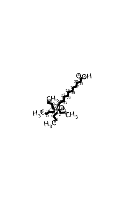 CCCCP(CCCC)(CCCC)(CCCC)OC(=O)CCCCCCCCCCC(=O)O